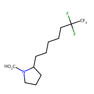 O=C(O)N1CCCC1CCCCCC(F)(F)C(F)(F)F